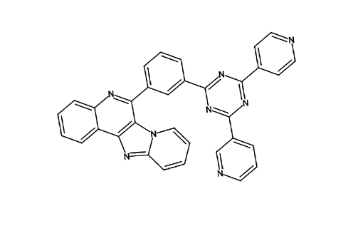 c1cncc(-c2nc(-c3ccncc3)nc(-c3cccc(-c4nc5ccccc5c5nc6ccccn6c45)c3)n2)c1